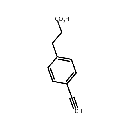 C#Cc1ccc(CCC(=O)O)cc1